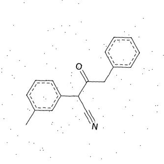 Cc1cccc(C(C#N)C(=O)Cc2ccccc2)c1